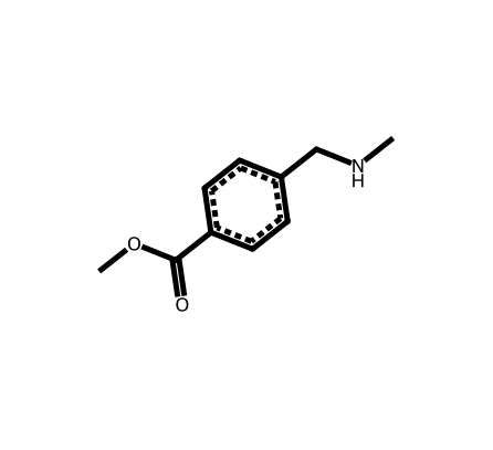 CNCc1ccc(C(=O)OC)cc1